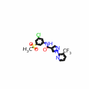 CS(=O)(=O)c1cc(Cl)cc(NC(=O)c2cnn(-c3ncccc3C(F)(F)F)c2)c1